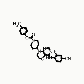 Cc1ccc(OC(=O)N2CCC(N3CCOc4c(Nc5ccc(C#N)cc5F)ncnc43)CC2)cc1